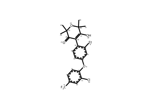 CCc1cc(Oc2ccc(C(F)(F)F)cc2Cl)ccc1C1=C(O)C(C)(C)OC(C)(C)C1=O